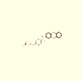 N=C(N)NCCC1CCC(S(=O)(=O)c2ccc3c(c2)Cc2ccccc2C3)CC1